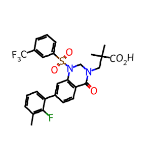 Cc1cccc(-c2ccc3c(c2)N(S(=O)(=O)c2cccc(C(F)(F)F)c2)CN(CC(C)(C)C(=O)O)C3=O)c1F